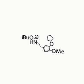 COc1ccc(CCNC(=O)OCC(C)C)cc1OC1CCCC1